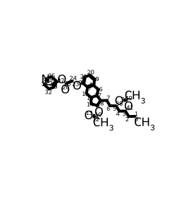 CCCCCC(CCC1C(OC(C)=O)CC2Cc3c(cccc3OCC(=O)OC3CN4CCC3CC4)CC21)OC(C)=O